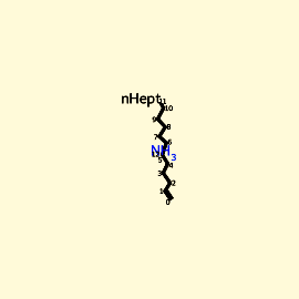 C=CCCCCCCCCCCCCCCCC.N